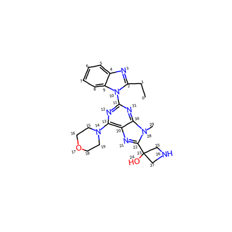 CCc1nc2ccccc2n1-c1nc(N2CCOCC2)c2nc(C3(O)CNC3)n(C)c2n1